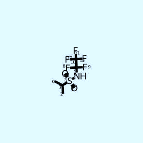 CC(C)S(=O)(=O)NC(F)(F)C(F)(F)F